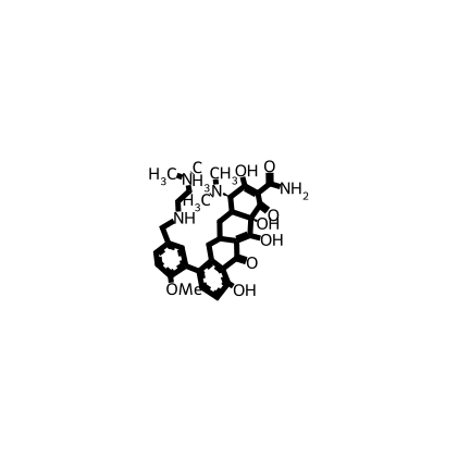 COc1ccc(CNCCN(C)C)cc1-c1ccc(O)c2c1CC1CC3[C@H](N(C)C)C(O)=C(C(N)=O)C(=O)[C@@]3(O)C(O)=C1C2=O